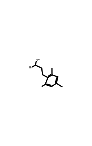 CCCC(Br)CCc1c(C)cc(C)cc1C